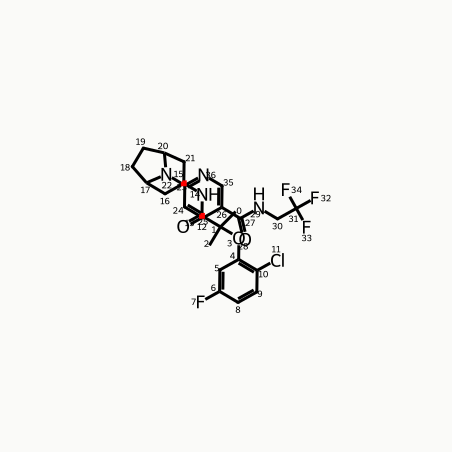 CC(C)(Oc1cc(F)ccc1Cl)C(=O)NC1CC2CCC(C1)N2c1ccc(C(=O)NCC(F)(F)F)cn1